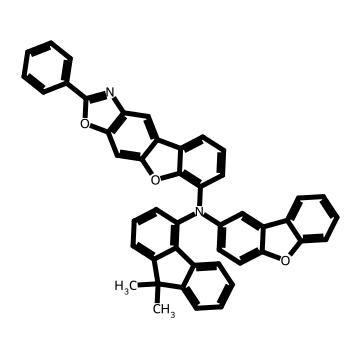 CC1(C)c2ccccc2-c2c(N(c3ccc4oc5ccccc5c4c3)c3cccc4c3oc3cc5oc(-c6ccccc6)nc5cc34)cccc21